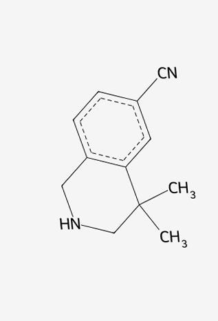 CC1(C)CNCc2ccc(C#N)cc21